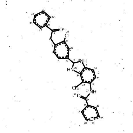 O=C(Cc1ccc(C2Nc3ccc(NC(=O)c4ccccc4)c(Cl)c3N2)cc1Cl)c1ccccc1